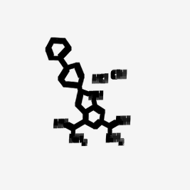 Cl.Cl.N=C(N)c1cc(C(=N)N)c2cc(-c3ccc(-c4ccccc4)cc3)[nH]c2c1